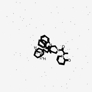 Cc1nc2ccccc2n1[C@H]1C[C@H]2CC[C@@H](C1)N2CCC1(c2ccccc2)CCN(C(=O)C(C)n2ccccc2=O)CC1